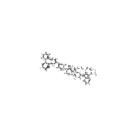 C/C=C\c1c(C)c2ccccc2n1-c1ccc2c(c1)C(C)(C)c1cc(-c3ccc(-c4ccc5c6ccccc6c6nccnc6c5c4)cc3)ccc1-2